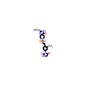 CCCCCCCCCC1=NC2(CCN(S(=O)(=O)C=Cc3ccc(N4C(=O)CNC4=O)cc3C)CC2)C(=O)N1